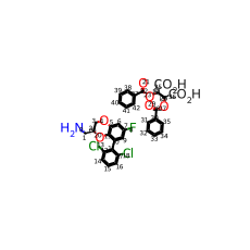 NC[C@H]1COc2cc(F)cc(-c3c(Cl)cccc3Cl)c2O1.O=C(O[C@H](C(=O)O)[C@H](OC(=O)c1ccccc1)C(=O)O)c1ccccc1